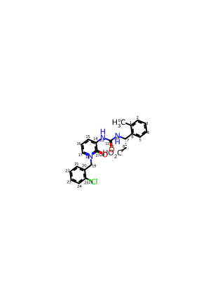 Cc1ccccc1[C@H](CC(=O)O)NC(=O)Nc1cccn(Cc2ccccc2Cl)c1=O